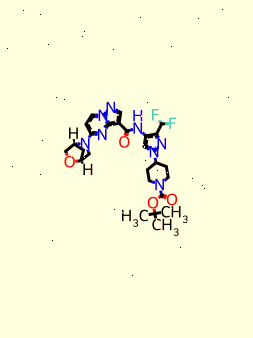 CC(C)(C)OC(=O)N1CCC(n2cc(NC(=O)c3cnn4ccc(N5C[C@H]6C[C@@H]5CO6)nc34)c(C(F)F)n2)CC1